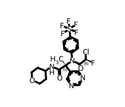 C[C@@](C(=O)NC1CCOCC1)(c1cncnc1)N(C(=O)[C@H](F)Cl)c1ccc(S(F)(F)(F)(F)F)cc1